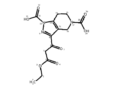 CCOC(=O)CC(=O)c1nn(C(=O)O)c2c1CN(C(=O)O)CC2